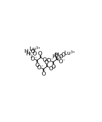 O.O.O.O.O=C([O-])C(=O)[O-].O=C([O-])C(=O)[O-].O=C([O-])C(=O)[O-].[Lu+3].[Lu+3]